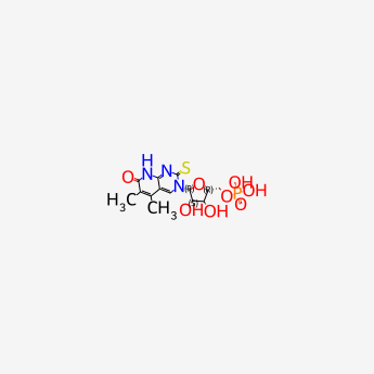 Cc1c(C)c2cn([C@@H]3O[C@H](COP(=O)(O)O)C(O)[C@@H]3O)c(=S)nc2[nH]c1=O